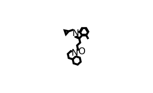 Cc1cccc2c1c(CCC(=O)N1CCCC3CCCCC31)cn2CC1CC1